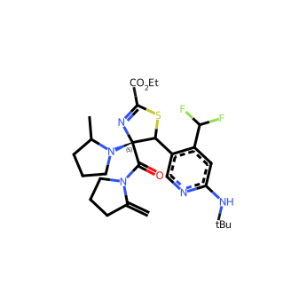 C=C1CCCN1C(=O)[C@]1(N2CCCC2C)N=C(C(=O)OCC)SC1c1cnc(NC(C)(C)C)cc1C(F)F